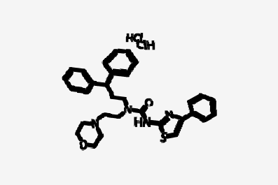 Cl.Cl.O=C(Nc1nc(-c2ccccc2)cs1)N(CCC(c1ccccc1)c1ccccc1)CCN1CCOCC1